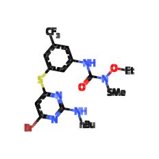 CCCCNc1nc(Br)cc(Sc2cc(NC(=O)N(OCC)SC)cc(C(F)(F)F)c2)n1